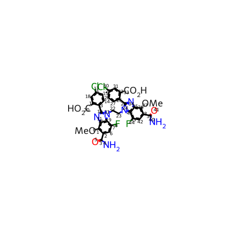 COc1c(C(N)=O)cc(F)c2c1nc(-c1ccc(Cl)cc1C(=O)O)n2CCn1c(-c2ccc(Cl)cc2C(=O)O)nc2c(OC)c(C(N)=O)cc(F)c21